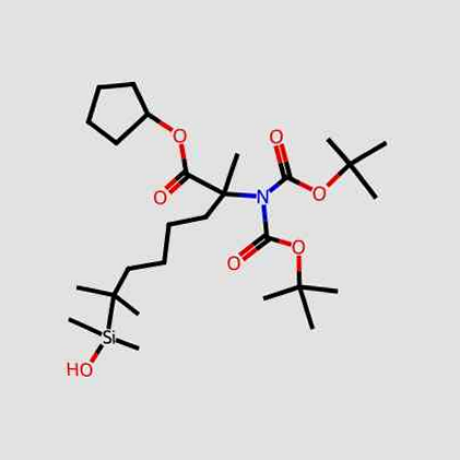 CC(C)(C)OC(=O)N(C(=O)OC(C)(C)C)C(C)(CCCCC(C)(C)[Si](C)(C)O)C(=O)OC1CCCC1